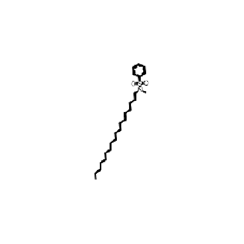 CCCCCCCCCCCCCCCCCCN(C)S(=O)(=O)c1[c]cccc1